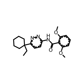 CCC1(c2ccc(NC(=O)c3c(OC)cccc3OC)nn2)CCCCC1